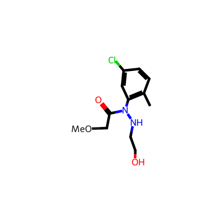 COCC(=O)N(NCCO)c1cc(Cl)ccc1C